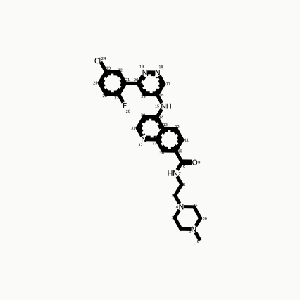 CN1CCN(CCNC(=O)c2ccc3c(Nc4cnnc(-c5cc(Cl)ccc5F)c4)ccnc3c2)CC1